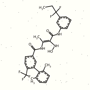 CCC(F)(F)c1cccc(NC(=O)/C(NO)=C(\C)NC(=O)c2ccc(C(F)(F)F)c(-c3c(C)cccc3C)c2)c1